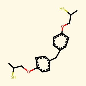 CC(S)COc1ccc(Cc2ccc(OCC(C)S)cc2)cc1